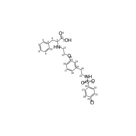 O=C(O)C(Cc1ccccc1)NCCOc1cccc(CCNS(=O)(=O)c2ccc(Cl)cc2)c1